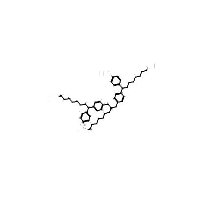 CCCCCCCCC(Cc1ccc(C(CCCCCCCC)c2ccc(N)cc2)cc1)Cc1ccc(C(CCCCCCCC)c2ccc(N)cc2)cc1